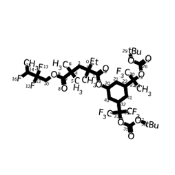 CCC(C)(CC(C)(C)C(=O)OCC(F)(F)C(C)F)C(=O)OC1CC(C(C)(OC(=O)OC(C)(C)C)C(F)(F)F)CC(C(OC(=O)OC(C)(C)C)(C(F)(F)F)C(F)(F)F)C1